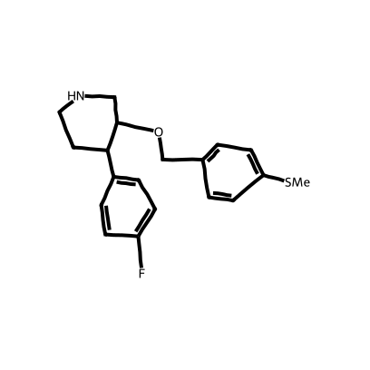 CSc1ccc(COC2CNCCC2c2ccc(F)cc2)cc1